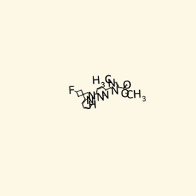 COC(=O)c1cn(C)c(-c2ccc(NCC3(c4ccccn4)CC(F)C3)nn2)n1